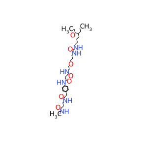 CCCC(CCCCNC(=O)NCCCOCCNC(=O)CC(=O)Nc1ccc(CC(=O)NCCC(=O)NC)cc1)C(=O)CC